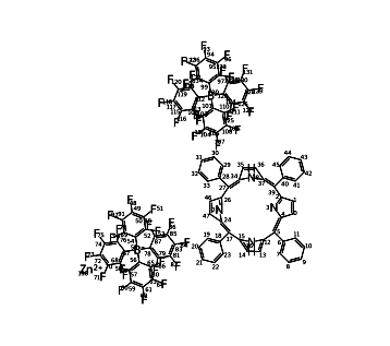 C1=Cc2nc1c(-c1ccccc1)c1ccc([nH]1)c(-c1ccccc1)c1nc(c(-c3ccccc3)c3ccc([nH]3)c2-c2ccccc2)C=C1.Fc1c(F)c(F)c([B-](c2c(F)c(F)c(F)c(F)c2F)(c2c(F)c(F)c(F)c(F)c2F)c2c(F)c(F)c(F)c(F)c2F)c(F)c1F.Fc1c(F)c(F)c([B-](c2c(F)c(F)c(F)c(F)c2F)(c2c(F)c(F)c(F)c(F)c2F)c2c(F)c(F)c(F)c(F)c2F)c(F)c1F.[Zn+2]